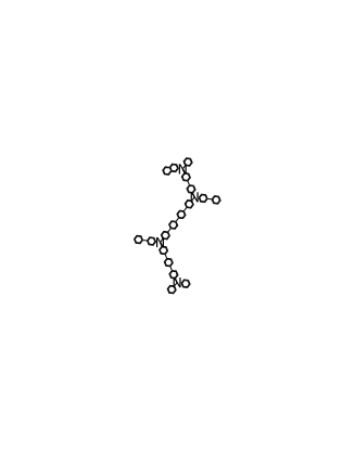 c1ccc(-c2ccc(N(c3ccc(-c4ccc(-c5ccc(-c6ccc(N(c7ccc(-c8ccccc8)cc7)c7ccc(-c8ccc(N(c9ccccc9)c9ccc%10ccccc%10c9)cc8)cc7)cc6)cc5)cc4)cc3)c3ccc(-c4ccc(-c5ccc(N(c6ccccc6)c6ccccc6)cc5)cc4)cc3)cc2)cc1